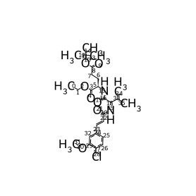 CCOC(=O)[C@@H](CCC(=O)OC(C)(C)C)NC(=O)[C@@H](NC(=O)/C=C/c1ccc(Cl)c(OC)c1)C(C)C